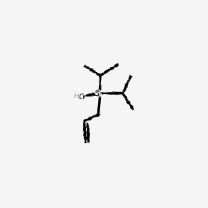 C=CC[Si](O)(C(C)C)C(C)C